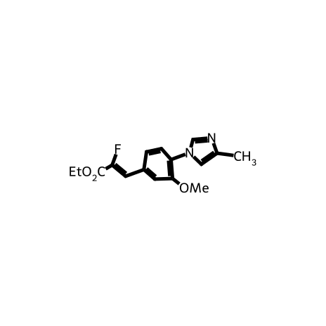 CCOC(=O)C(F)=Cc1ccc(-n2cnc(C)c2)c(OC)c1